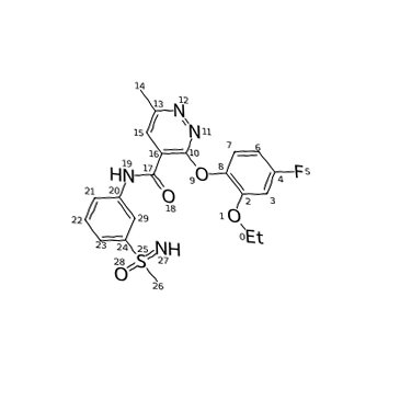 CCOc1cc(F)ccc1Oc1nnc(C)cc1C(=O)Nc1cccc(S(C)(=N)=O)c1